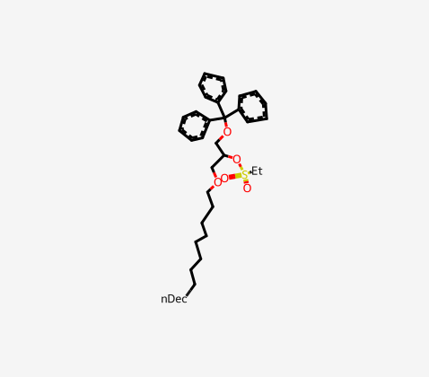 CCCCCCCCCCCCCCCCCCOCC(COC(c1ccccc1)(c1ccccc1)c1ccccc1)OS(=O)(=O)CC